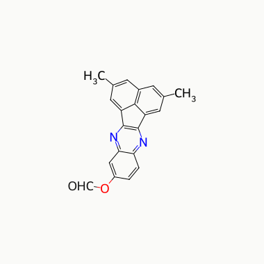 Cc1cc2c3c(cc(C)cc3c1)-c1nc3cc(OC=O)ccc3nc1-2